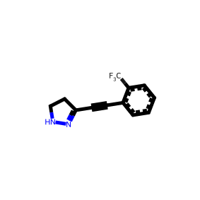 FC(F)(F)c1ccccc1C#CC1=NNCC1